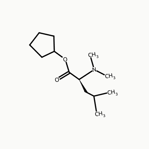 CC(C)C[C@@H](C(=O)OC1CCCC1)N(C)C